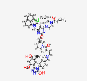 C=CC(=O)N1CCN(c2nc(OC[C@@H]3CCCN(C(=O)C4CCN(Cc5ccc(-n6c(O)nnc6-c6cc(C(C)C)c(O)cc6O)cc5)CC4)C3)nc3c2CCN(c2cccc4cccc(Cl)c24)C3)C[C@@H]1CC#N